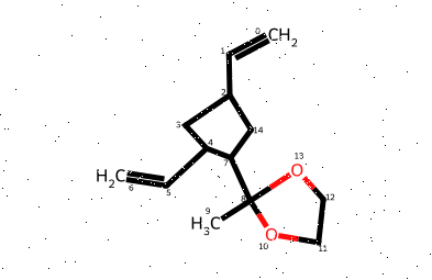 C=CC1CC(C=C)C(C2(C)OCCO2)C1